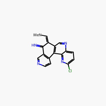 CN/C=C1\C(=N)c2cnccc2-c2c1cnc1ccc(Cl)nc21